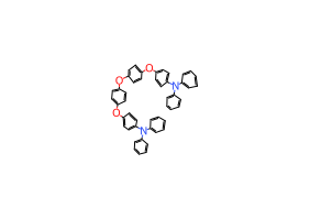 c1ccc(N(c2ccccc2)c2ccc(Oc3ccc(Oc4ccc(Oc5ccc(N(c6ccccc6)c6ccccc6)cc5)cc4)cc3)cc2)cc1